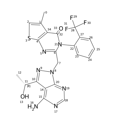 Cc1csc2nc(Cn3nc([C@@H](C)O)c4c(N)ncnc43)n(-c3ccccc3C(F)(F)F)c(=O)c12